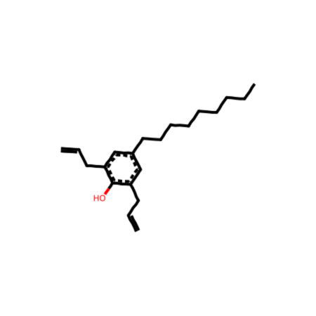 C=CCc1cc(CCCCCCCCC)cc(CC=C)c1O